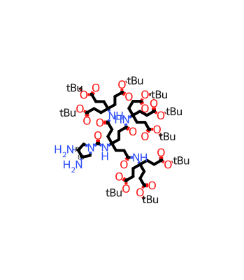 CC(C)(C)OC(=O)CCC(CCC(=O)OC(C)(C)C)(CCC(=O)OC(C)(C)C)NC(=O)CCC(CCC(=O)NC(CCC(=O)OC(C)(C)C)(CCC(=O)OC(C)(C)C)CCC(=O)OC(C)(C)C)(CCC(=O)NC(CCC(=O)OC(C)(C)C)(CCC(=O)OC(C)(C)C)CCC(=O)OC(C)(C)C)NC(=O)N1C[C@@H](N)[C@H](N)C1